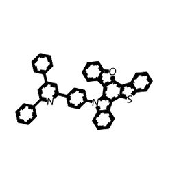 c1ccc(-c2cc(-c3ccccc3)nc(-c3ccc(-n4c5ccccc5c5c6sc7ccccc7c6c6oc7ccccc7c6c54)cc3)c2)cc1